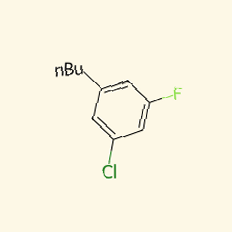 CCCCc1cc(F)cc(Cl)c1